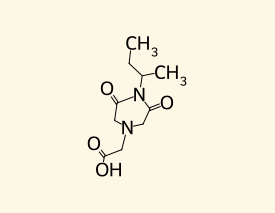 CCC(C)N1C(=O)CN(CC(=O)O)CC1=O